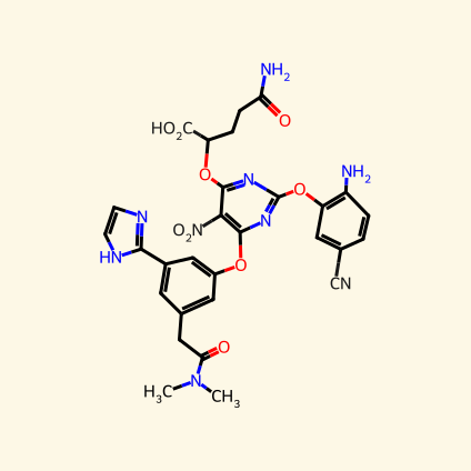 CN(C)C(=O)Cc1cc(Oc2nc(Oc3cc(C#N)ccc3N)nc(OC(CCC(N)=O)C(=O)O)c2[N+](=O)[O-])cc(-c2ncc[nH]2)c1